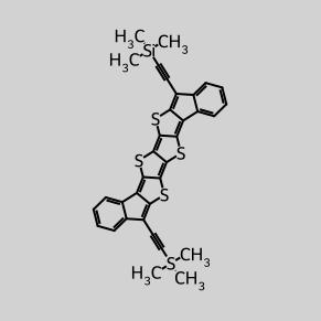 C[Si](C)(C)C#CC1=c2sc3c(sc4c5sc6c(c5sc34)-c3ccccc3C=6C#CS(C)(C)C)c2-c2ccccc21